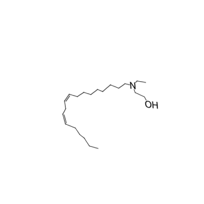 CCCCC/C=C\C/C=C\CCCCCCCCN(CC)CCO